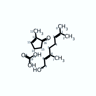 CC(C)=CCC/C(C)=C/CO.CC1=CCCC1=O.O=C(O)O